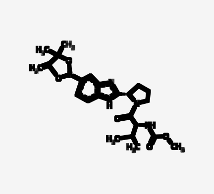 C=C1OB(c2ccc3[nH]c([C@@H]4CCCN4C(=O)[C@@H](NC(=O)OC)C(C)C)nc3c2)OC1(C)C